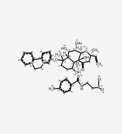 C=C[C@@]1(C)CC(=O)[C@]2(O)[C@@]3(C)[C@@H](O)CCC(C)(C)[C@@H]3[C@H](O)[C@H](OC(C)=O)[C@@]2(C)O1.CCN(CC)CCNC(=O)c1ccc(N)cc1.c1cc[n+]2c(c1)-c1cccc[n+]1CC2